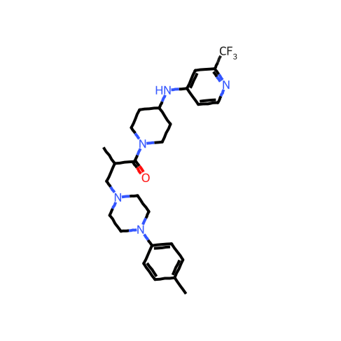 Cc1ccc(N2CCN(CC(C)C(=O)N3CCC(Nc4ccnc(C(F)(F)F)c4)CC3)CC2)cc1